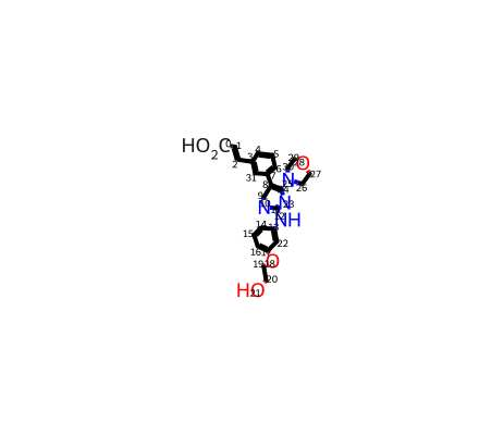 O=C(O)/C=C/c1cccc(-c2cnc(Nc3cccc(OCCO)c3)nc2N2CCOCC2)c1